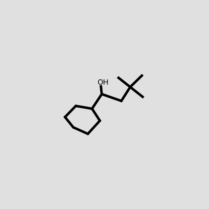 CC(C)(C)CC(O)C1CCCCC1